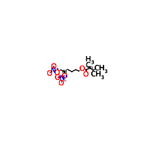 CC(C)[C@H](C)C(=O)OCCCC[C@@H](CO[N+](=O)[O-])O[N+](=O)[O-]